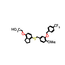 COc1ccc(CSc2ccc(OCC(=O)O)c3c2CCC3)cc1OCc1ccc(C(F)(F)F)cc1